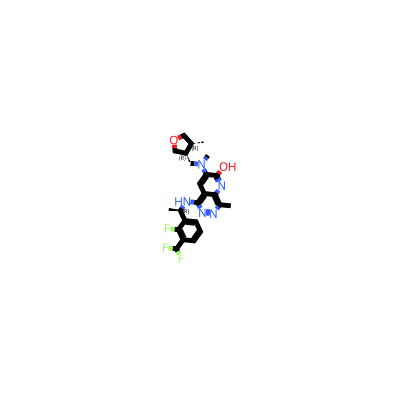 Cc1nnc(N[C@H](C)c2cccc(C(F)F)c2F)c2cc(N(C)C[C@@H]3COC[C@@H]3C)c(O)nc12